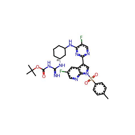 Cc1ccc(S(=O)(=O)n2cc(-c3ncc(F)c(NC4CCC[C@@H](NC(=N)NC(=O)OC(C)(C)C)C4)n3)c3cc(F)cnc32)cc1